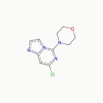 Clc1cc2nccn2c(N2CCOCC2)n1